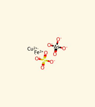 O=S(=O)([O-])[O-].O=[As]([O-])([O-])[O-].[Cu+2].[Fe+3]